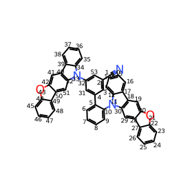 N#Cc1cc(-c2ccccc2-n2c3ccccc3c3cc4oc5ccccc5c4cc32)cc(-n2c3ccccc3c3cc4oc5ccccc5c4cc32)c1